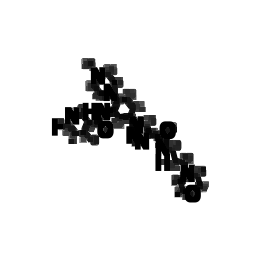 Cc1cc(F)ncc1C(=O)Nc1cc(-n2cc(C(=O)NCCCN3CCOCC3)nn2)ccc1N1CCN(C)CC1